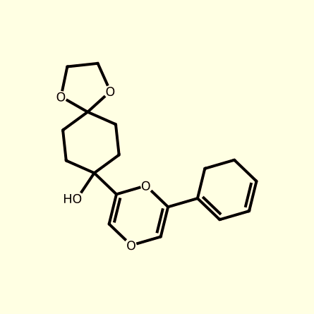 OC1(C2=COC=C(C3=CC=CCC3)O2)CCC2(CC1)OCCO2